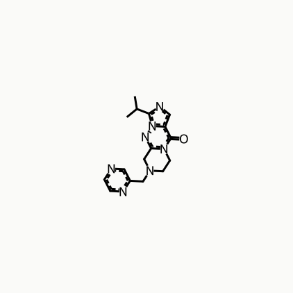 CC(C)c1ncc2c(=O)n3c(nn12)CN(Cc1cnccn1)CC3